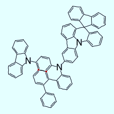 c1ccc(-c2ccccc2-c2ccccc2N(c2ccc(-n3c4ccccc4c4ccccc43)cc2)c2ccc3c(c2)c2cccc4c2n3-c2ccccc2C42c3ccccc3-c3ccccc32)cc1